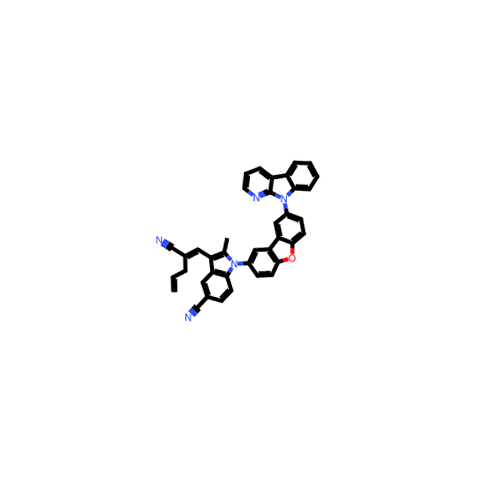 C=CC/C(C#N)=C\c1c(C)n(-c2ccc3oc4ccc(-n5c6ccccc6c6cccnc65)cc4c3c2)c2ccc(C#N)cc12